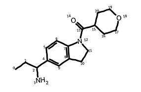 CCC(N)c1ccc2c(c1)CCN2C(=O)C1CCOCC1